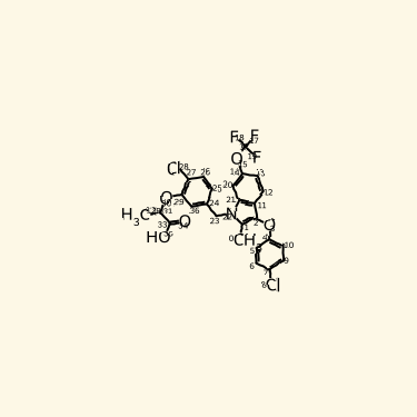 Cc1c(Oc2ccc(Cl)cc2)c2ccc(OC(F)(F)F)cc2n1Cc1ccc(Cl)c(O[C@H](C)C(=O)O)c1